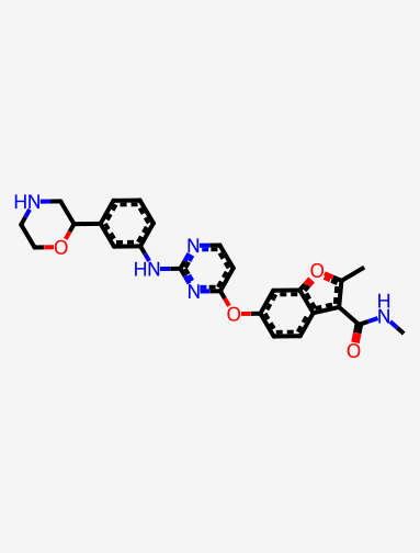 CNC(=O)c1c(C)oc2cc(Oc3ccnc(Nc4cccc(C5CNCCO5)c4)n3)ccc12